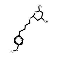 COc1ccc(CCCCOC2CC(O)CC(C)O2)cc1